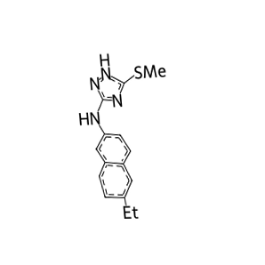 CCc1ccc2cc(Nc3n[nH]c(SC)n3)ccc2c1